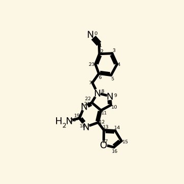 N#Cc1cccc(Cn2ncc3c(-c4ccco4)nc(N)nc32)c1